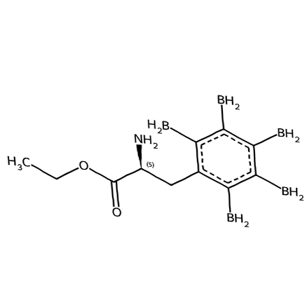 Bc1c(B)c(B)c(C[C@H](N)C(=O)OCC)c(B)c1B